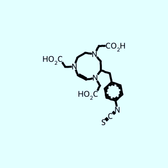 O=C(O)CN1/C=C\N(CC(=O)O)C(Cc2ccc(N=C=S)cc2)CN(CC(=O)O)CC1